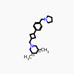 C[C@H]1C[C@H](C)CN(CC2CC(c3ccc(CN4CCCC4)cc3)C2)C1